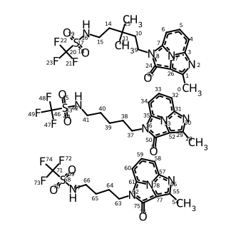 Cc1nc2cccc3n(CCC(C)(C)CCNS(=O)(=O)C(F)(F)F)c(=O)c1n23.Cc1nc2cccc3n(CCCCCNS(=O)(=O)C(F)(F)F)c(=O)c1n23.Cc1nc2cccc3n(CCCCNS(=O)(=O)C(F)(F)F)c(=O)c1n23